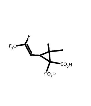 CC1(C)C(/C=C(\F)C(F)(F)F)C1(C(=O)O)C(=O)O